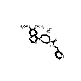 COc1cc2ncnc(N3CCCN(C(=S)NCc4cccnc4)CC3)c2cc1OC.Cl.Cl